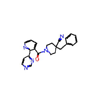 N#CC1(Cc2ccccc2)CCN(C(=O)c2cccnc2-c2ccncn2)CC1